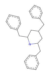 c1ccc(CC2CC(Cc3ccccc3)[N]C(Cc3ccccc3)C2)cc1